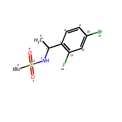 CC(NS(=O)(=O)C(C)(C)C)c1ccc(Br)cc1F